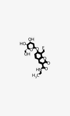 CCNC(=O)c1cc2ccc(OC3C[C@@H](O)[C@@H](O)[C@@H](CO)O3)c(CF)c2oc1=O